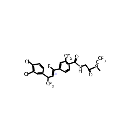 CN(CC(F)(F)F)C(=O)CNC(=O)c1ccc(/C(F)=C/C(c2ccc(Cl)c(Cl)c2)C(F)(F)F)cc1C(F)(F)F